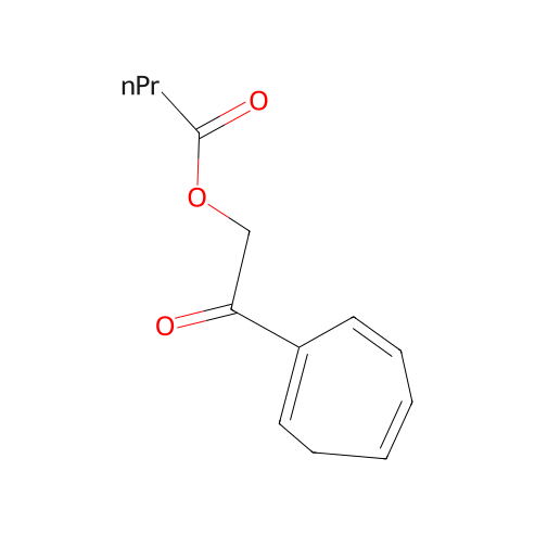 CCCC(=O)OCC(=O)C1=CCC=CC=C1